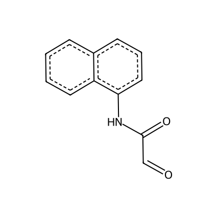 O=CC(=O)Nc1cccc2ccccc12